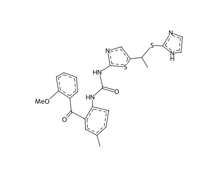 COc1ccccc1C(=O)c1cc(C)ccc1NC(=O)Nc1ncc(C(C)Sc2ncc[nH]2)s1